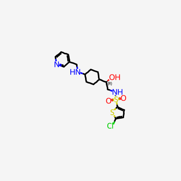 O=S(=O)(NC[C@H](O)C1CCC(NCc2cccnc2)CC1)c1ccc(Cl)s1